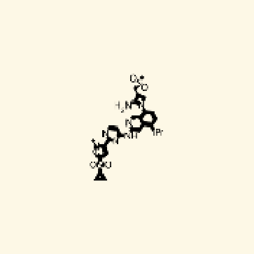 CC(C)c1ccc(N2C[C@H](CS(C)(=O)=O)[C@H]2N)c2cnc(Nc3ccnc(-c4cc(S(=O)(=O)C5CC5)nn4C)n3)cc12